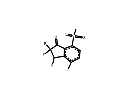 CS(=O)(=O)c1ccc(F)c2c1C(=O)C(F)(F)C2F